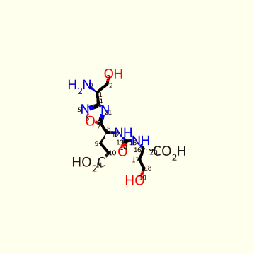 N[C@@H](CO)c1noc([C@H](CCC(=O)O)NC(=O)N[C@@H](CCO)C(=O)O)n1